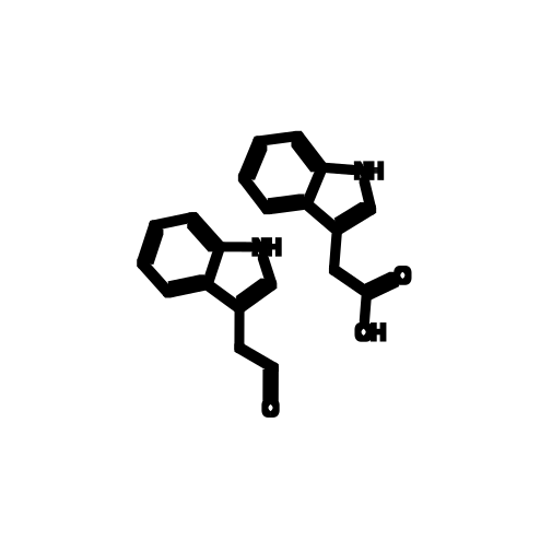 O=C(O)Cc1c[nH]c2ccccc12.O=CCc1c[nH]c2ccccc12